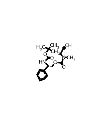 C#CCN(C)C(=O)OC[C@@H](NC(=O)OC(C)(C)C)c1ccccc1